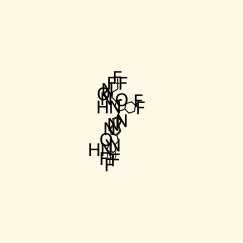 O=C(NC(c1cn2ncc(CN3C[C@@H](C(F)(F)F)NC3=O)cc2n1)C1CCC(F)(F)CC1)c1nonc1CC(F)(F)F